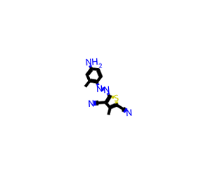 Cc1cc(N)ccc1N=Nc1sc(C#N)c(C)c1C#N